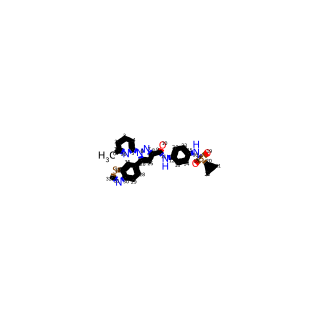 Cc1cccc(-n2nc(C(=O)Nc3ccc(NS(=O)(=O)C4CC4)cc3)cc2-c2ccc3ncsc3c2)n1